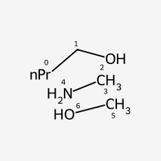 CCCCO.CN.CO